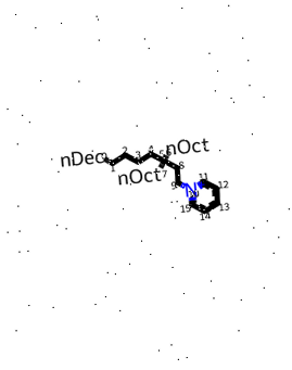 CCCCCCCCCCCCCCC(CCCCCCCC)(CCCCCCCC)CC[n+]1ccccc1